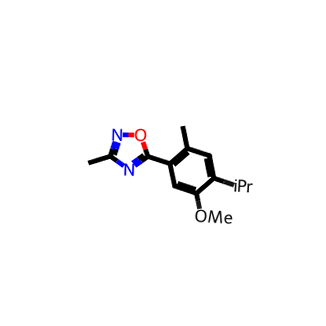 COc1cc(-c2nc(C)no2)c(C)cc1C(C)C